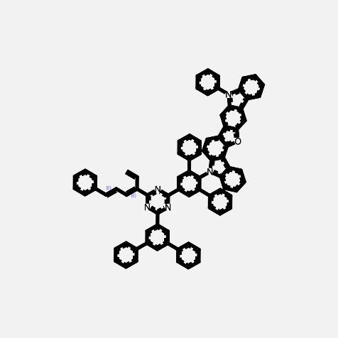 C=C/C(=C\C=C\c1ccccc1)c1nc(-c2cc(-c3ccccc3)cc(-c3ccccc3)c2)nc(-c2cc(-c3ccccc3)c(-n3c4ccccc4c4c5oc6cc7c8ccccc8n(-c8ccccc8)c7cc6c5ccc43)c(-c3ccccc3)c2)n1